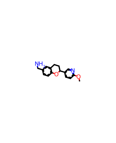 COc1ccc(C2CCc3cc(CN)ccc3O2)cn1